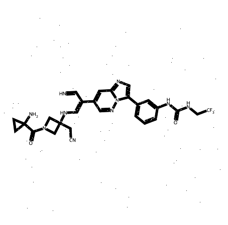 N#CCC1(N/C=C(\C=N)c2cnn3c(-c4cccc(NC(=O)NCC(F)(F)F)c4)cnc3c2)CN(C(=O)C2(N)CC2)C1